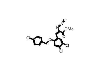 COC(=O)/C(=C\c1cc(Cl)c(Cl)cc1OCc1ccc(Cl)cc1)N=[N+]=[N-]